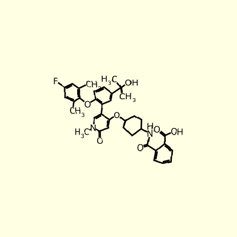 Cc1cc(F)cc(C)c1Oc1ccc(C(C)(C)O)cc1-c1cn(C)c(=O)cc1OC1CCC(NC(=O)c2ccccc2C(=O)O)CC1